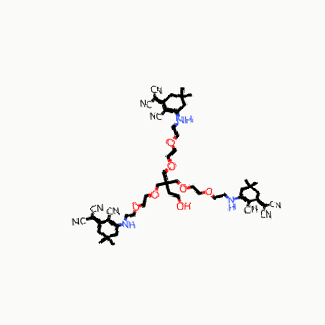 CC1(C)CC(NCCOCCOCC(CCO)(COCCOCCNC2=C(C#N)C(=C(C#N)C#N)CC(C)(C)C2)COCCOCCNC2=C(C#N)C(=C(C#N)C#N)CC(C)(C)C2)=C(C#N)C(=C(C#N)C#N)C1